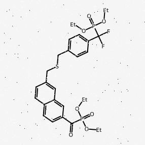 CCOP(=O)(OCC)C(=O)c1ccc2ccc(CSCc3ccc(C(F)(F)P(=O)(OCC)OCC)cc3)cc2c1